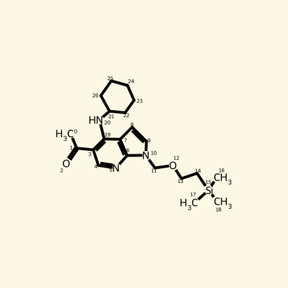 CC(=O)c1cnc2c(ccn2COCC[Si](C)(C)C)c1NC1CCCCC1